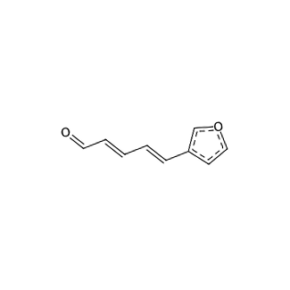 O=C/C=C/C=C/c1ccoc1